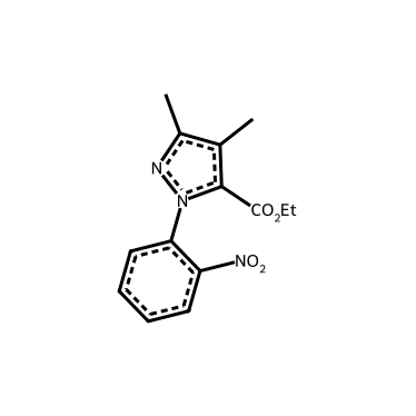 CCOC(=O)c1c(C)c(C)nn1-c1ccccc1[N+](=O)[O-]